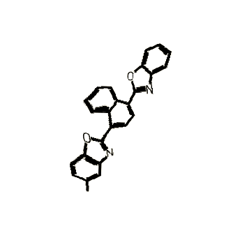 Cc1ccc2oc(-c3ccc(-c4nc5ccccc5o4)c4ccccc34)nc2c1